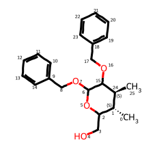 C[C@@H]1C(CO)OC(OCc2ccccc2)C(OCc2ccccc2)[C@H]1C